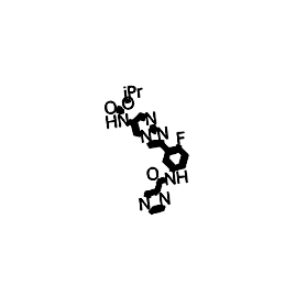 CC(C)OC(=O)Nc1cnc2nc(-c3cc(NC(=O)c4cnccn4)ccc3F)cn2c1